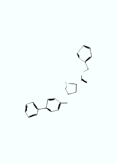 O=C(OCc1ccccc1)[C@H]1C[C@H](Cc2ccc(-c3ccccc3)cc2)CN1